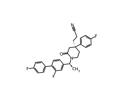 C[C@@H](c1ccc(-c2ccc(F)cc2)c(F)c1)N1CC[C@](CCC#N)(c2ccc(F)cc2)CC1=O